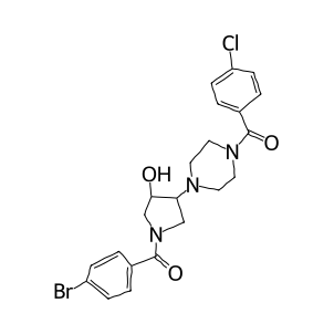 O=C(c1ccc(Cl)cc1)N1CCN(C2CN(C(=O)c3ccc(Br)cc3)CC2O)CC1